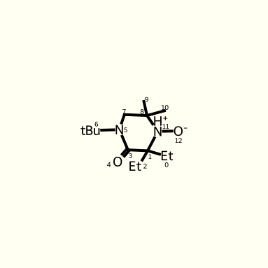 CCC1(CC)C(=O)N(C(C)(C)C)CC(C)(C)[NH+]1[O-]